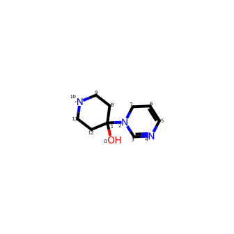 OC1(N2C=NC=CC2)CC[N]CC1